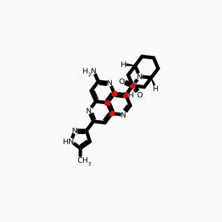 Cc1cc(-c2ccc3c(NC4C[C@H]5CCC[C@@H](C4)N5S(=O)(=O)c4cccnc4)nc(N)cc3n2)n[nH]1